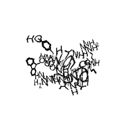 C=CC[C@@H](NC(=O)[C@@H](CCC(N)=O)NC(=O)[C@H](NC(=O)[C@H](NC(=O)[C@@H](CCCNC(=N)N)NC(=O)[C@@H](CC(C)C)NC(=O)[C@@H](Cc1ccc(O)cc1)NC(=O)OCC1c2ccccc2-c2ccccc21)C(C)CC)C(C)C)C(=O)N[C@@H](C)CCCNC(=N)N